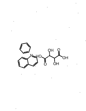 O=C(O)C(O)C(O)C(=O)O.c1ccc2ncccc2c1.c1ccccc1